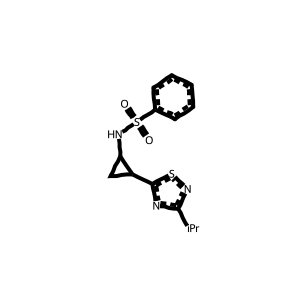 CC(C)c1nsc(C2CC2NS(=O)(=O)c2ccccc2)n1